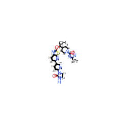 CC(C)c1noc(N2CCC(C(C)Oc3nc4ccc(-c5ccc(N6CCNC6=O)nc5)nc4s3)CC2)n1